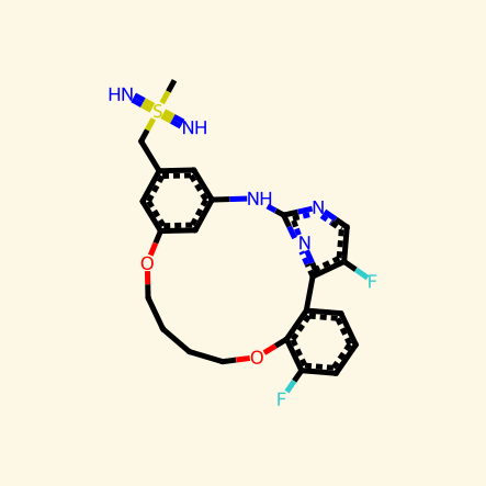 CS(=N)(=N)Cc1cc2cc(c1)OCCCCOc1c(F)cccc1-c1nc(ncc1F)N2